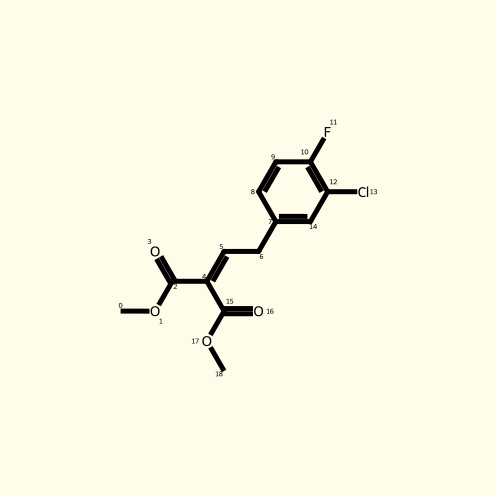 COC(=O)C(=CCc1ccc(F)c(Cl)c1)C(=O)OC